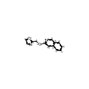 [c]1nc(OCc2ncco2)cc2ccccc12